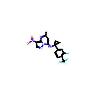 Cc1cc(NC2(c3ccc(C(F)(F)F)c(F)c3)CC2)n2ncc([N+](=O)[O-])c2n1